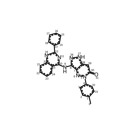 Cc1ccc(-n2nc3c(Nc4nc(-c5ccccc5)nc5ccccc45)n[nH]c3cc2=O)cc1